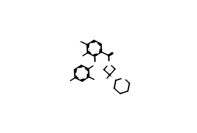 O=C(c1ccc(I)c(F)c1Nc1ccc(F)cc1F)N1CC(O)([C@@H]2CCCCN2)C1